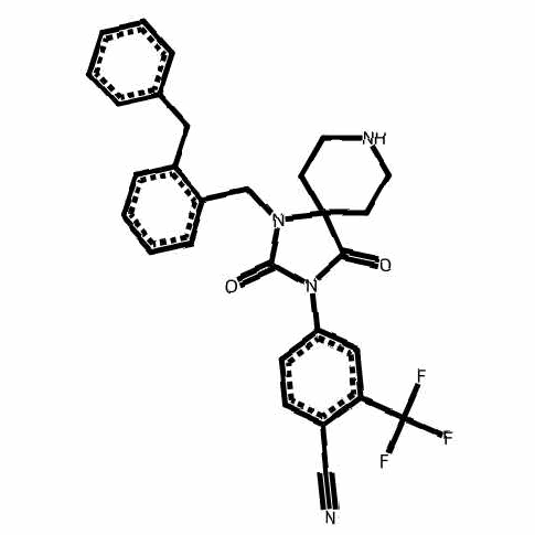 N#Cc1ccc(N2C(=O)N(Cc3ccccc3Cc3ccccc3)C3(CCNCC3)C2=O)cc1C(F)(F)F